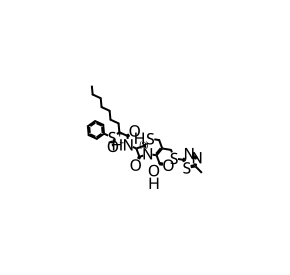 CCCCCCCC(C(=O)NC1C(=O)N2C(C(=O)O)=C(CSc3nnc(C)s3)CS[C@@H]12)[S+]([O-])c1ccccc1